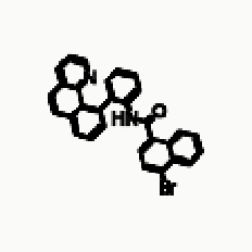 O=C(Nc1ccccc1-c1cccc2ccc3cccnc3c12)c1ccc(Br)c2ccccc12